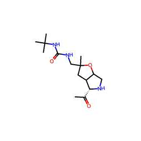 CC(=O)[C@H]1NCC2OC(C)(CNC(=O)NC(C)(C)C)CC21